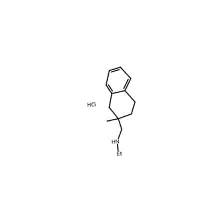 CCNCC1(C)CCc2ccccc2C1.Cl